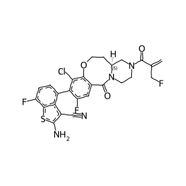 C=C(CF)C(=O)N1CCN2C(=O)c3cc(F)c(-c4ccc(F)c5sc(N)c(C#N)c45)c(Cl)c3OCC[C@H]2C1